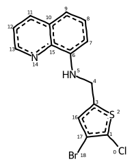 Clc1sc(CNc2cccc3cccnc23)cc1Br